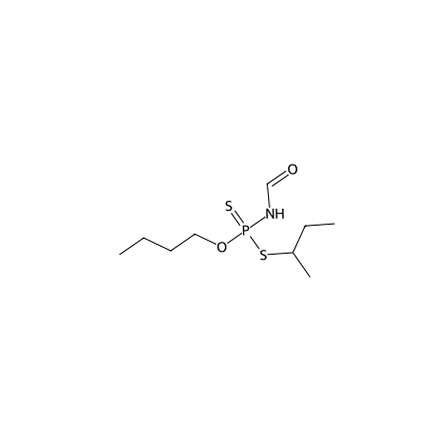 CCCCOP(=S)(NC=O)SC(C)CC